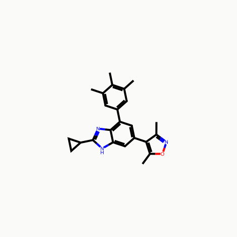 Cc1cc(-c2cc(-c3c(C)noc3C)cc3[nH]c(C4CC4)nc23)cc(C)c1C